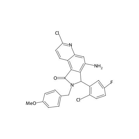 COc1ccc(CN2C(=O)c3c(c(N)cc4nc(Cl)ccc34)C2c2cc(F)ccc2Cl)cc1